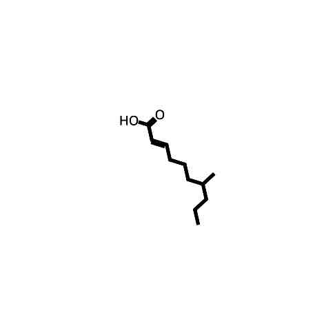 CCCC(C)CCCC=CC(=O)O